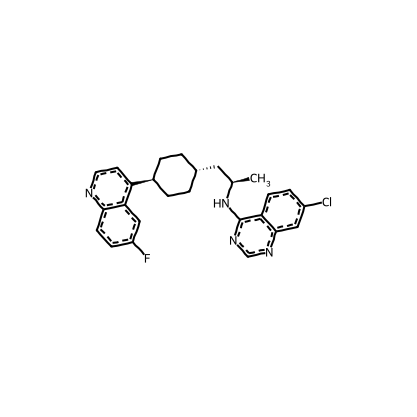 C[C@H](C[C@H]1CC[C@H](c2ccnc3ccc(F)cc32)CC1)Nc1ncnc2cc(Cl)ccc12